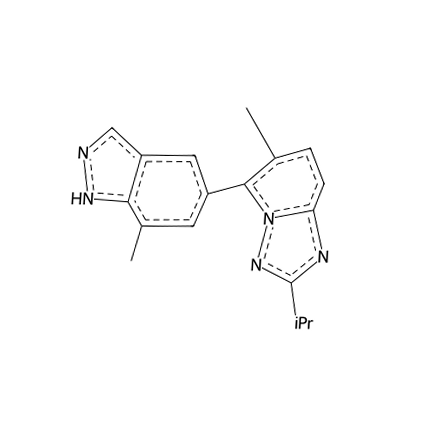 Cc1ccc2nc(C(C)C)nn2c1-c1cc(C)c2[nH]ncc2c1